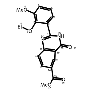 CCOc1c(OC)cccc1-c1nc2ccc(C(=O)OC)cc2c(=O)[nH]1